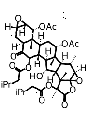 CC(=O)O[C@H]1C[C@H]2[C@H]([C@@H]3[C@@H](O)[C@@H]4[C@H]([C@H](C)[C@H]5O[C@]56OC(=O)[C@@](C)(OC(=O)CC(C)C)[C@]46C)[C@]31C)[C@@H](OC(=O)CC(C)C)C(=O)[C@H]1C[C@@H]3O[C@@H]3[C@H](OC(C)=O)[C@@]12C